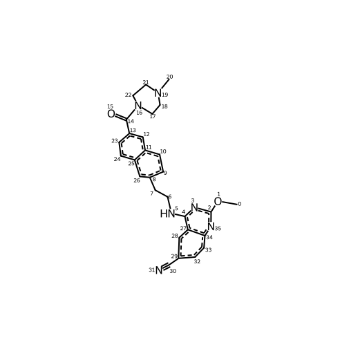 COc1nc(NCCc2ccc3cc(C(=O)N4CCN(C)CC4)ccc3c2)c2cc(C#N)ccc2n1